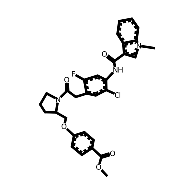 COC(=O)c1ccc(OCC2CCCN2C(=O)Cc2cc(Cl)c(NC(=O)c3cn(C)c4ccccc34)cc2F)cc1